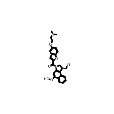 CN(C)CCOc1ccc2oc(C(=O)N3C[C@@H](CCl)c4c3cc(OO)c3ccccc43)cc2c1